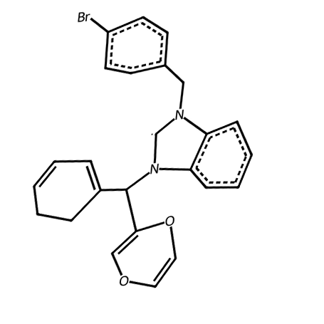 Brc1ccc(CN2[CH]N(C(C3=CC=CCC3)C3=COC=CO3)c3ccccc32)cc1